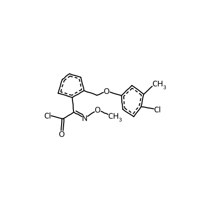 CO/N=C(/C(=O)Cl)c1ccccc1COc1ccc(Cl)c(C)c1